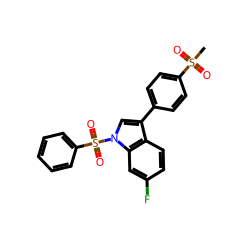 CS(=O)(=O)c1ccc(-c2cn(S(=O)(=O)c3ccccc3)c3cc(F)ccc23)cc1